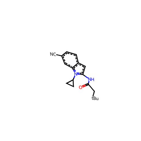 CC(C)(C)CC(=O)Nc1cc2ccc(C#N)cc2n1C1CC1